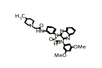 COc1cc(Nc2nc3ccccc3nc2N(c2cccc(NC(=O)CN3CCC(C)CC3)c2)[SH](=O)=O)cc(OC)c1